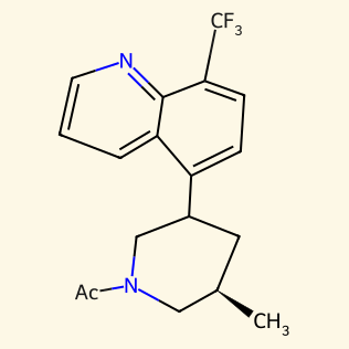 CC(=O)N1CC(c2ccc(C(F)(F)F)c3ncccc23)C[C@@H](C)C1